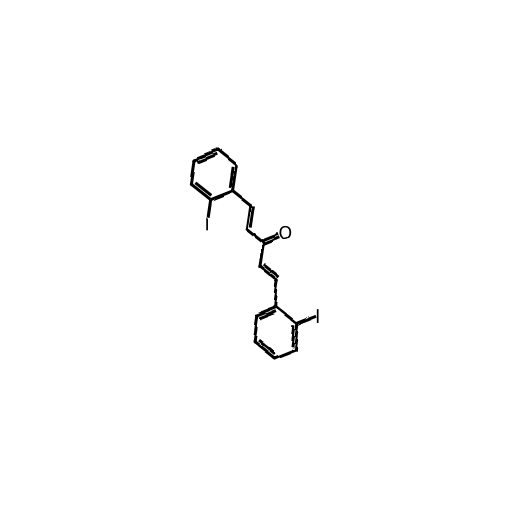 O=C(/C=C/c1ccccc1I)/C=C/c1ccccc1I